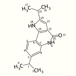 CC(C)c1ccc2c(c1)[nH]c(=O)c1cc(C(C)C)[nH]c12